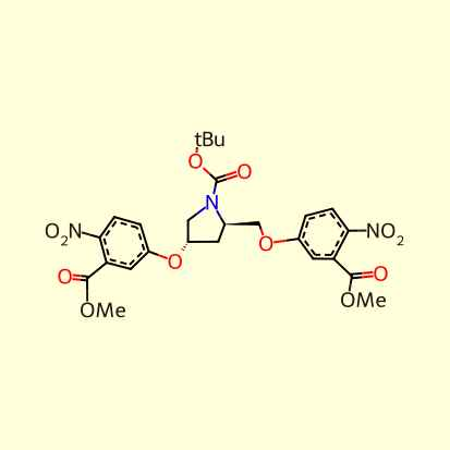 COC(=O)c1cc(OC[C@H]2C[C@H](Oc3ccc([N+](=O)[O-])c(C(=O)OC)c3)CN2C(=O)OC(C)(C)C)ccc1[N+](=O)[O-]